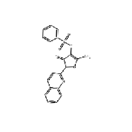 NC1=C(OS(=O)(=O)c2ccccc2)C(=O)C(c2ccc3ccccc3n2)O1